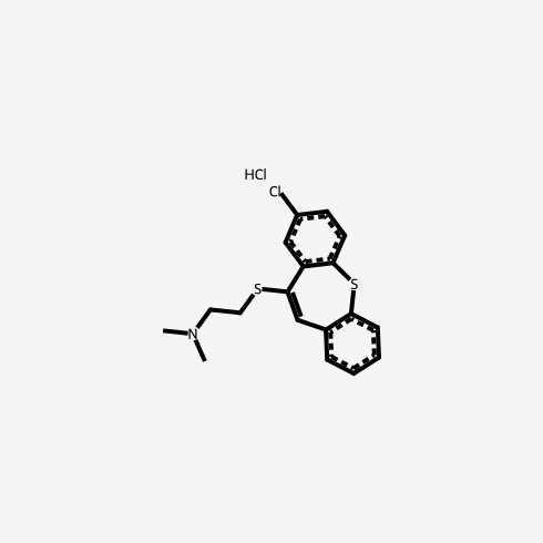 CN(C)CCSC1=Cc2ccccc2Sc2ccc(Cl)cc21.Cl